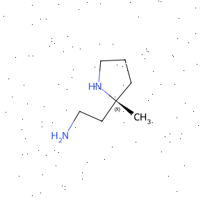 C[C@]1(CCN)CCCN1